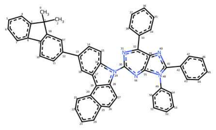 CC1(C)c2ccccc2-c2ccc(-c3ccc4c(c3)c3c5ccccc5ccc3n4-c3nc(-c4ccccc4)c4nc(-c5ccccc5)n(-c5ccccc5)c4n3)cc21